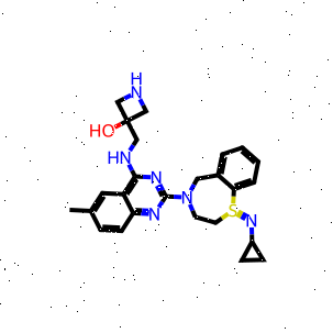 Cc1ccc2nc(N3CCS(=NC4CC4)c4ccccc4C3)nc(NCC3(O)CNC3)c2c1